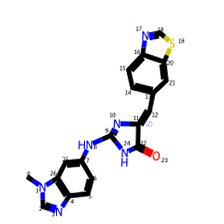 Cn1cnc2ccc(NC3=N/C(=C\c4ccc5ncsc5c4)C(=O)N3)cc21